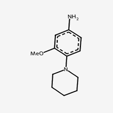 COc1cc(N)ccc1N1CCCCC1